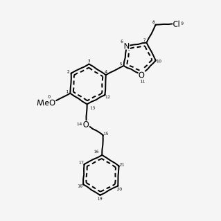 COc1ccc(-c2nc(CCl)co2)cc1OCc1ccccc1